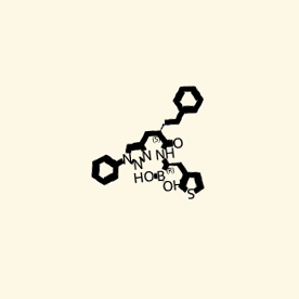 O=C(N[C@@H](Cc1ccsc1)B(O)O)[C@@H](CCc1ccccc1)Cc1cn(-c2ccccc2)nn1